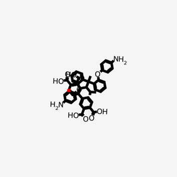 CC(C)C(c1c(-c2ccc(C(=O)O)c(C(=O)O)c2)ccc(C(=O)O)c1C(=O)O)C(C)(c1ccccc1Oc1ccc(N)cc1)c1ccccc1Oc1ccc(N)cc1